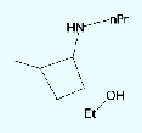 CCCNC1CCC1C.CCO